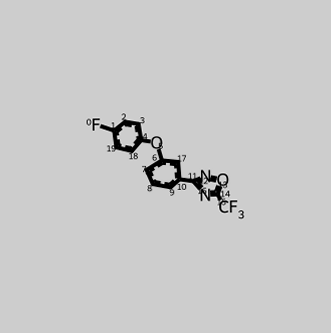 Fc1ccc(Oc2[c]ccc(-c3noc(C(F)(F)F)n3)c2)cc1